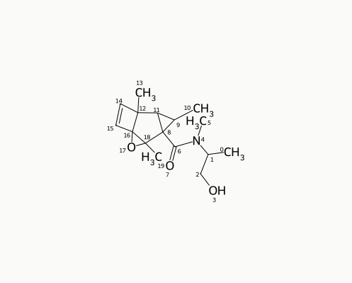 CC(CO)N(C)C(=O)C12C(C)C1C1(C)C=CC13OC23C